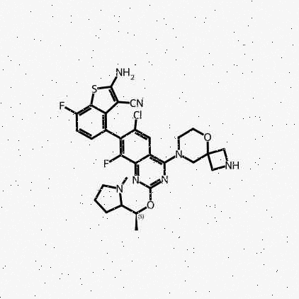 C[C@H](Oc1nc(N2CCOC3(CNC3)C2)c2cc(Cl)c(-c3ccc(F)c4sc(N)c(C#N)c34)c(F)c2n1)C1CCCN1C